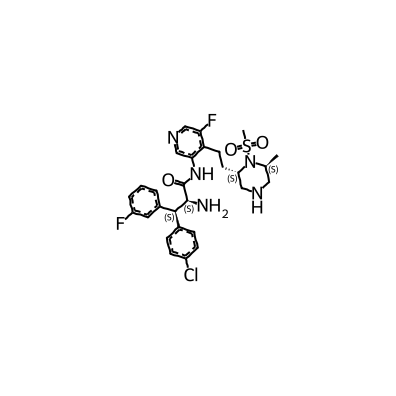 C[C@H]1CNC[C@H](CCc2c(F)cncc2NC(=O)[C@@H](N)[C@@H](c2ccc(Cl)cc2)c2cccc(F)c2)N1S(C)(=O)=O